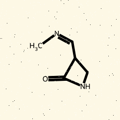 C/N=C\C1CNC1=O